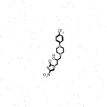 O=[N+]([O-])c1cn(CC(O)CN2CCN(c3ccc(C(F)(F)F)cc3)CC2)c(Cl)n1